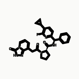 O=C(N[C@H](c1ccccc1)c1ccc(C2CC2)c(F)n1)[C@@H]1CCCN1C(=O)Cc1cccn2c(=O)[nH]nc12